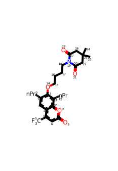 CCCc1cc2c(C(F)(F)F)cc(=O)oc2c(CCC)c1OCCCCN1C(=O)CC(C)(C)CC1=O